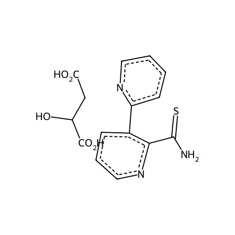 NC(=S)c1ncccc1-c1ccccn1.O=C(O)CC(O)C(=O)O